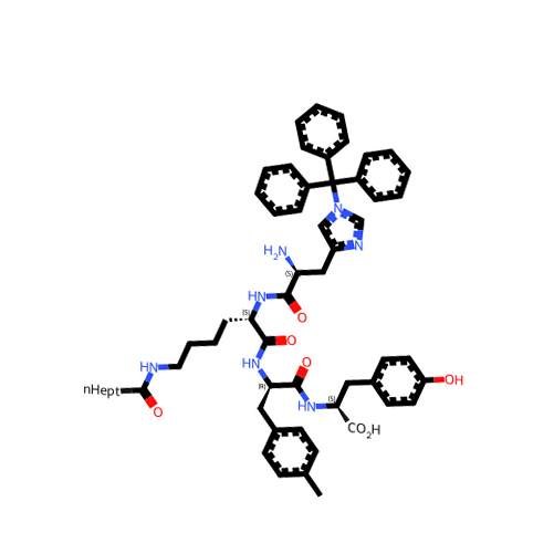 CCCCCCCC(=O)NCCCC[C@H](NC(=O)[C@@H](N)Cc1cn(C(c2ccccc2)(c2ccccc2)c2ccccc2)cn1)C(=O)N[C@H](Cc1ccc(C)cc1)C(=O)N[C@@H](Cc1ccc(O)cc1)C(=O)O